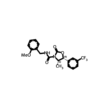 COc1ccccc1CNC(=O)N1C(=O)O[C@H](c2cccc(C(F)(F)F)c2)[C@@H]1C